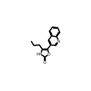 CCCc1[nH]c(=O)oc1-c1cnc2ccccc2c1